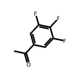 CC(=O)c1cc(F)c(F)c(F)c1